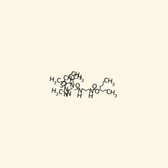 C/C=C\C(=C/C)C1=N[C@H](CC(=O)NCCCNC(=O)OC(CCC)CCCC)c2nnc(C)n2-c2sc(C)c(C)c21